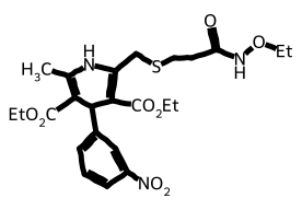 CCONC(=O)CCSCC1=C(C(=O)OCC)C(c2cccc([N+](=O)[O-])c2)C(C(=O)OCC)=C(C)N1